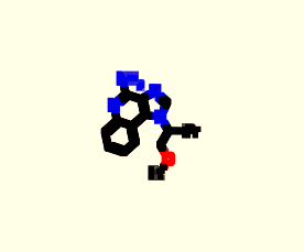 CCOCC(C(C)C)n1cnc2c(N)nc3ccccc3c21